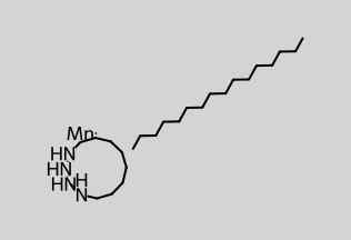 C1CCCCNNNNCCC1.CCCCCCCCCCCCCCCC.[Mn]